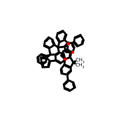 CC1(C)c2cc(-c3ccccc3)ccc2-c2ccc(N(c3ccccc3)c3ccccc3C3(c4ccccc4)c4ccccc4C4(c5ccccc5)c5ccccc5-c5cccc3c54)cc21